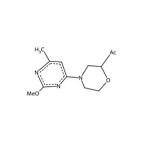 COc1nc(C)cc(N2CCOC(C(C)=O)C2)n1